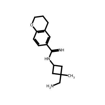 CC1(CN)CC(NC(=N)c2ccc3c(c2)CCCO3)C1